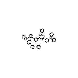 c1ccc(-c2cccc(-c3ccc4c(c3)c3c(-c5cccc(-c6nc(-c7ccccc7)nc(-c7cccc(-n8c9ccccc9c9ccccc98)c7)n6)c5)cccc3n4-c3ccccc3)c2)cc1